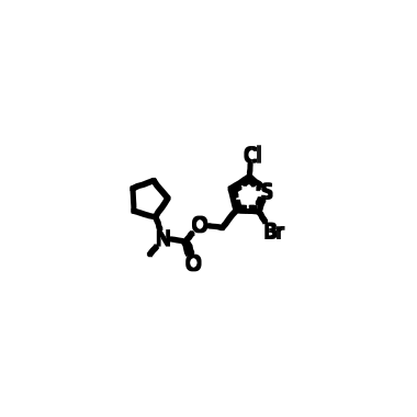 CN(C(=O)OCc1cc(Cl)sc1Br)C1CCCC1